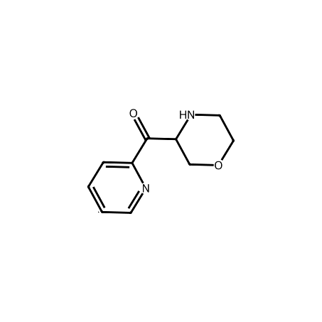 O=C(c1cc[c]cn1)C1COCCN1